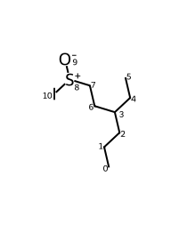 CCCC(CC)CC[S+]([O-])I